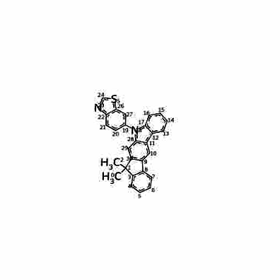 CC1(C)c2ccccc2-c2cc3c4ccccc4n(-c4ccc5ncsc5c4)c3cc21